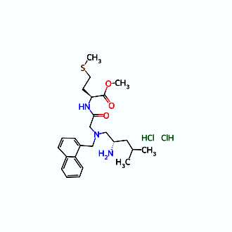 COC(=O)[C@H](CCSC)NC(=O)CN(Cc1cccc2ccccc12)C[C@@H](N)CC(C)C.Cl.Cl